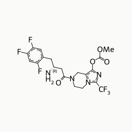 COC(=O)Oc1nc(C(F)(F)F)n2c1CN(C(=O)C[C@H](N)Cc1cc(F)c(F)cc1F)CC2